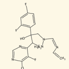 C=C/N=C\N(N)CC(O)(c1ccc(F)cc1F)C(C)c1ncnc(Cl)c1F